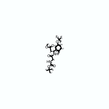 COC(=O)C[C@H](NC(=O)CNC(=O)OC(C)(C)C)c1cc(OC(F)(F)F)ccc1F